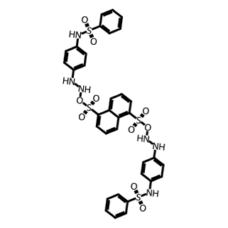 O=S(=O)(Nc1ccc(NNOS(=O)(=O)c2cccc3c(S(=O)(=O)ONNc4ccc(NS(=O)(=O)c5ccccc5)cc4)cccc23)cc1)c1ccccc1